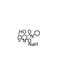 Cc1csc2c1c(O)c(C(=O)N(C)c1ccccc1)c(=O)n2C.[NaH]